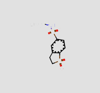 CCOC(=O)NS(=O)(=O)c1ccc2c(c1)CCS2(=O)=O